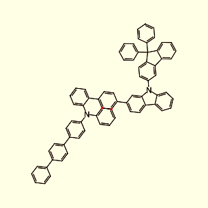 c1ccc(-c2ccc(-c3ccc(N(c4ccccc4)c4ccccc4-c4ccc(-c5ccc6c7ccccc7n(-c7ccc8c(c7)-c7ccccc7C8(c7ccccc7)c7ccccc7)c6c5)cc4)cc3)cc2)cc1